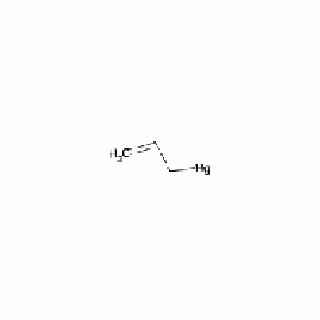 C=C[CH2][Hg]